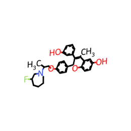 CC1=C(c2cccc(O)c2)C(c2ccc(OCC(C)N3CCCCC(F)C3)cc2)Oc2ccc(O)cc21